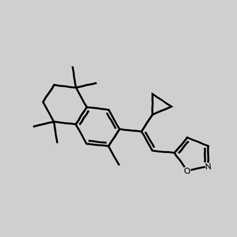 Cc1cc2c(cc1C(=Cc1ccno1)C1CC1)C(C)(C)CCC2(C)C